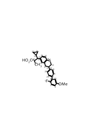 COc1ccc(F)c(-c2ccc(C3CSc4ccc(C(C5CC5)[C@H](C)C(=O)O)cc4C3)cc2)c1